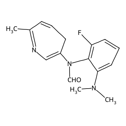 CC1=NC=C(N(C=O)c2c(F)cccc2N(C)C)CC=C1